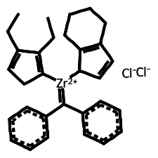 CCC1=CC[C]([Zr+2](=[C](c2ccccc2)c2ccccc2)[CH]2C=CC3=C2CCCC3)=C1CC.[Cl-].[Cl-]